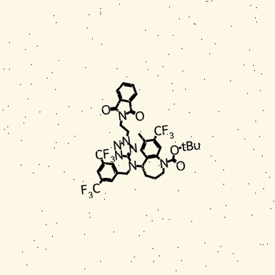 Cc1cc2c(cc1C(F)(F)F)N(C(=O)OC(C)(C)C)CCCC2N(Cc1cc(C(F)(F)F)cc(C(F)(F)F)c1)c1nnn(CCN2C(=O)c3ccccc3C2=O)n1